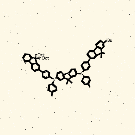 CCCCCCCCC1(CCCCCCCC)c2ccccc2-c2ccc(-c3ccc(N(c4ccc(C)cc4)c4ccc5c(c4)C(C)(C)c4cc(N(c6ccc(C)cc6)c6ccc(-c7ccc8c(c7)C(C)(C)c7cc(C(C)CC)ccc7-8)cc6)ccc4-5)cc3)cc21